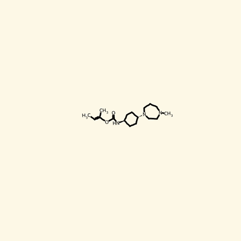 C/C=C(\C)OC(=O)N[C@H]1CC[C@H](N2CCCN(C)CC2)CC1